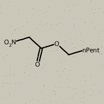 CCCCCCOC(=O)C[N+](=O)[O-]